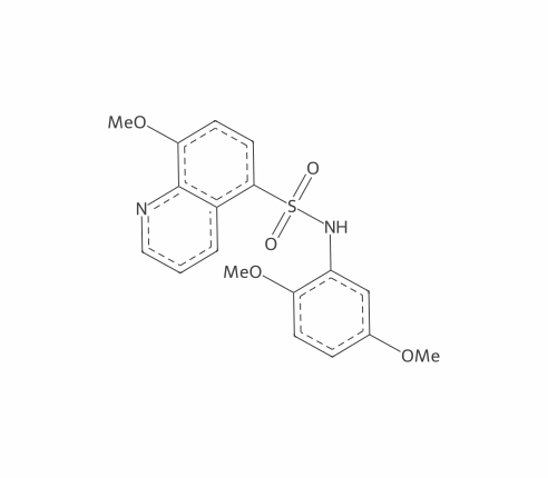 COc1ccc(OC)c(NS(=O)(=O)c2ccc(OC)c3ncccc23)c1